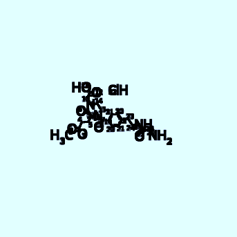 COC(=O)CC[C@H]1C(=O)N(CC(=O)O)CCN1C(=O)c1ccc(CCNC(=O)CN)cc1.Cl